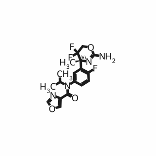 CC(C)N(C(=O)c1cocn1)c1ccc(F)c([C@@]2(C)N=C(N)OCC2(F)F)c1